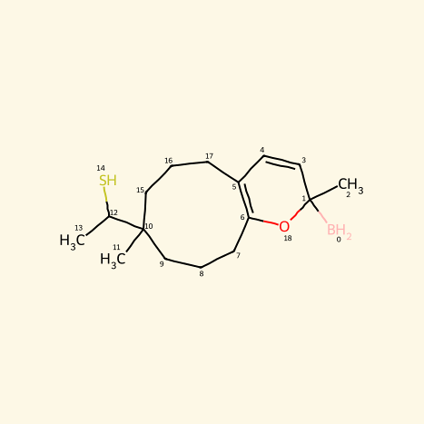 BC1(C)C=CC2=C(CCCC(C)(C(C)S)CCC2)O1